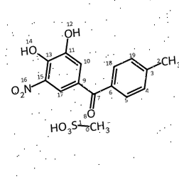 CS(=O)(=O)O.Cc1ccc(C(=O)c2cc(O)c(O)c([N+](=O)[O-])c2)cc1